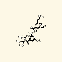 CCCCC[C@H](CN(O)C=O)C(=O)NNc1nc(C)cc(C(=O)N(C(C)C)C(C)C)n1